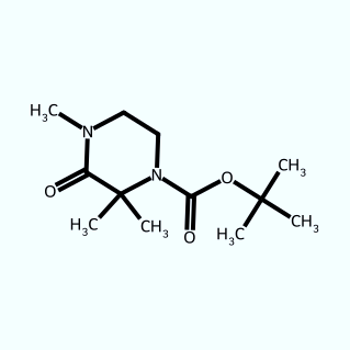 CN1CCN(C(=O)OC(C)(C)C)C(C)(C)C1=O